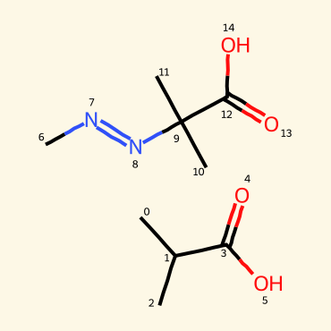 CC(C)C(=O)O.CN=NC(C)(C)C(=O)O